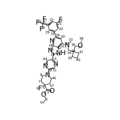 CCOC(=O)C1(F)CCN(c2cnc(-c3nc4nc(-c5cc(F)cc(C(F)(F)F)c5)cc(N(C)CC5(COC)CCC5)c4[nH]3)cn2)CC1